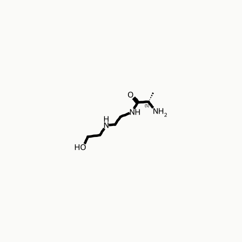 C[C@H](N)C(=O)NCCNCCO